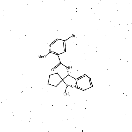 COc1ccc(Br)cc1C(=O)NC(c1ccccc1)C1(N(C)C)CCCC1